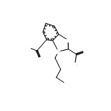 CCCCN1c2c(cccc2C(=O)O)SC1C(=O)O